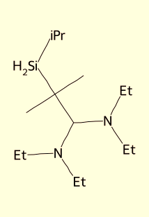 CCN(CC)C(N(CC)CC)C(C)(C)[SiH2]C(C)C